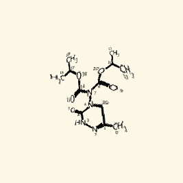 CC1=NNC(=O)N(N(C(=O)OC(C)C)C(=O)OC(C)C)C1